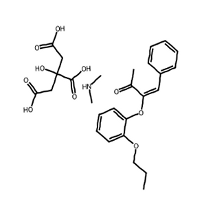 CCCOc1ccccc1OC(=Cc1ccccc1)C(C)=O.CNC.O=C(O)CC(O)(CC(=O)O)C(=O)O